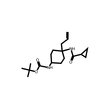 C=CCC1(NC(=O)C2CC2)CCC(NC(=O)OC(C)(C)C)CC1